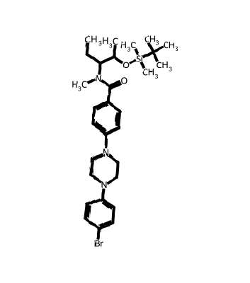 CCC(C(C)O[Si](C)(C)C(C)(C)C)N(C)C(=O)c1ccc(N2CCN(c3ccc(Br)cc3)CC2)cc1